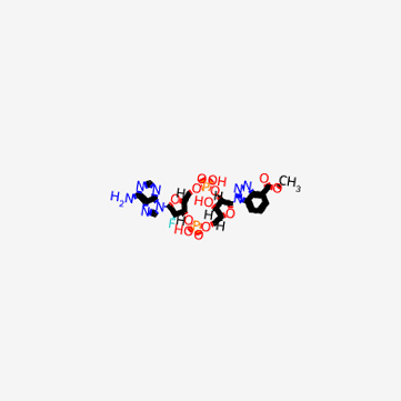 COC(=O)c1cccc2c1nnn2[C@@H]1O[C@@H]2COP(=O)(O)O[C@H]3[C@@H](F)[C@H](n4cnc5c(N)ncnc54)O[C@@H]3COP(=O)(O)O[C@@H]1[C@@H]2O